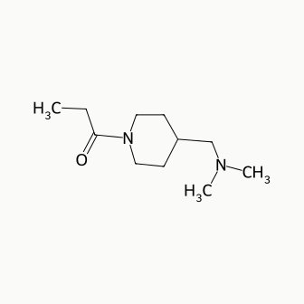 CCC(=O)N1CCC(CN(C)C)CC1